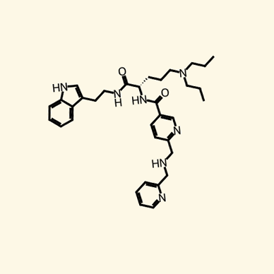 CCCN(CCC)CCC[C@H](NC(=O)c1ccc(CNCc2ccccn2)nc1)C(=O)NCCc1c[nH]c2ccccc12